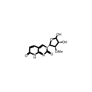 CO[C@@H]1[C@H](O)C(O)O[C@H]1n1cc2ccc(=O)[nH]c2nc1=O